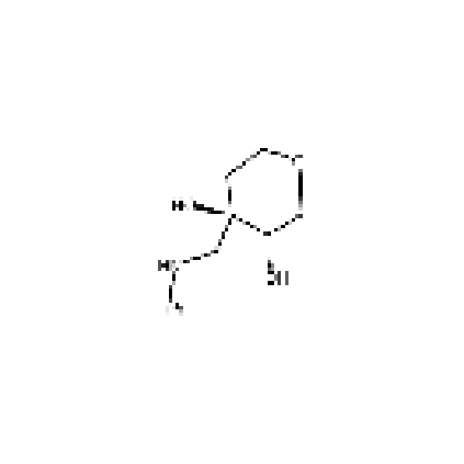 CC(C)NC[C@]1(O)CCOC[C@@H]1O